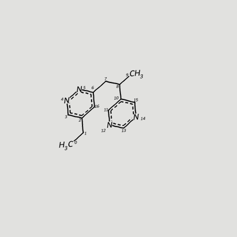 CCc1cnnc(CC(C)c2cncnc2)c1